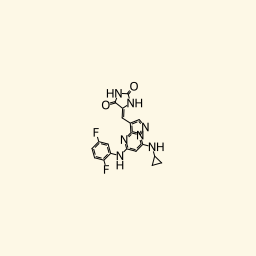 O=C1NC(=O)/C(=C/c2cnn3c(NC4CC4)cc(Nc4cc(F)ccc4F)nc23)N1